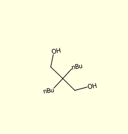 CCCCC(CO)(CO)CCCC